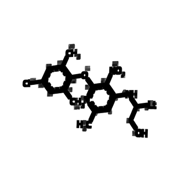 CCC(CO)Nc1cc(C)nc(Oc2c(C)cc(Cl)cc2C)c1[N+](=O)[O-]